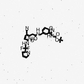 CC(C)(C)OC(=O)Nc1noc2ccc(CNC(=O)Cc3c(C#N)ccc(NCC(F)(F)c4ccccn4)[n+]3[O-])cc12